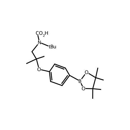 CC(C)(CN(C(=O)O)C(C)(C)C)Oc1ccc(B2OC(C)(C)C(C)(C)O2)cc1